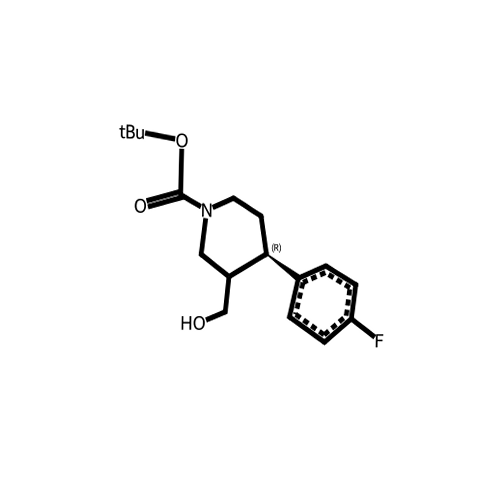 CC(C)(C)OC(=O)N1CC[C@@H](c2ccc(F)cc2)C(CO)C1